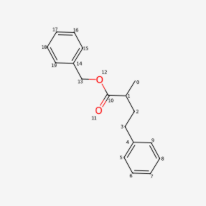 CC(CCc1ccccc1)C(=O)OCc1ccccc1